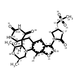 C[C@@H]1CN2c3c(cc4c(N5C[C@H](CS(C)(=O)=O)SC5=O)noc4c3F)CC3(C(=O)NC(=O)NC3=O)[C@H]2[C@H](C)O1